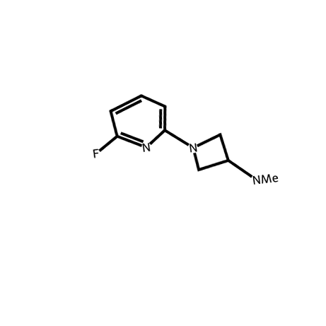 CNC1CN(c2cccc(F)n2)C1